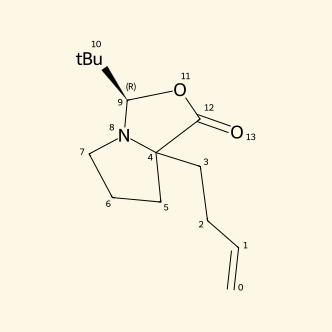 C=CCCC12CCCN1[C@@H](C(C)(C)C)OC2=O